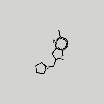 Cc1ccc2c(n1)CC(CN1CCCC1)O2